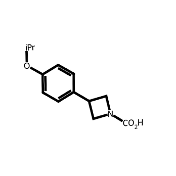 CC(C)Oc1ccc(C2CN(C(=O)O)C2)cc1